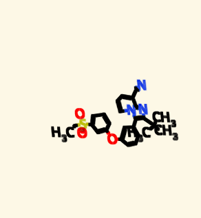 CCS(=O)(=O)c1cccc(Oc2cccc(-c3c(C(C)(C)C)nc4c(C#N)cccn34)c2)c1